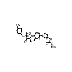 CC(C)(C)OC(=O)N[C@@H]1CCN(c2ccc3c(O)c(C(=O)NCc4ccc(C#N)nc4)ncc3n2)C1